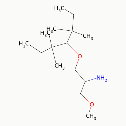 CCC(C)(C)C(OCC(N)COC)C(C)(C)CC